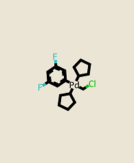 Fc1cc(F)c[c]([Pd]([CH2]Cl)([CH]2CCCC2)[CH]2CCCC2)c1